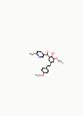 COc1ccc(/C=C/c2cc(OC)c(O)c(C(=O)c3ccc(C)nc3)c2)cc1